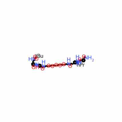 CCCn1/c(=N/C(=O)c2cccc(C(N)=O)c2)[nH]c2ccc(CCC(=O)NCCCOCCOCCOCCOCCOCCCNC(=O)c3ccc(/N=N/c4cc(CCNC(=O)OC(C)(C)C)ccc4O)cc3)cc21